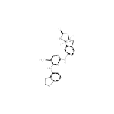 Cc1cnc(Nc2ccc3c(c2)[C@@H]2NC(=O)O[C@@H]2C3)nc1Nc1cccc2c1CCC2